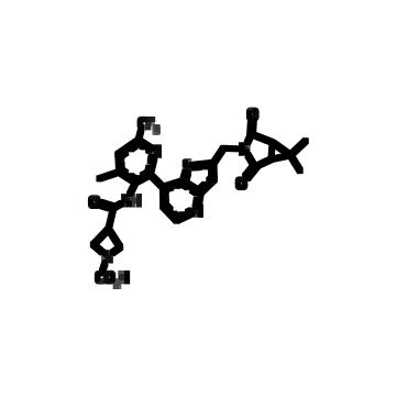 Cc1cc(C(F)(F)F)nc(-c2ccnc3cc(CN4C(=O)C5C(C4=O)C5(C)C)sc23)c1NC(=O)C1CN(C(=O)O)C1